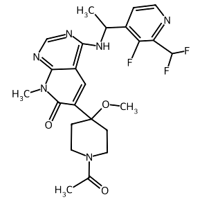 COC1(c2cc3c(NC(C)c4ccnc(C(F)F)c4F)ncnc3n(C)c2=O)CCN(C(C)=O)CC1